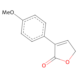 COc1ccc(C2=CCOC2=O)cc1